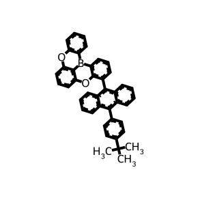 CC(C)(C)c1ccc(-c2c3ccccc3c(-c3cccc4c3Oc3cccc5c3B4c3ccccc3O5)c3ccccc23)cc1